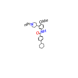 CCCN1CCC(c2cc(NC(=O)c3ccc(C4CCCCC4)cc3)ccc2OC)CC1